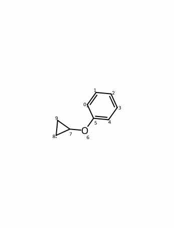 [c]1ccccc1OC1[CH]C1